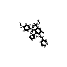 COC(=O)c1cc(C)c(NCc2cccnc2)c(-c2ccco2)c1S(=O)(=O)c1ccc(OC)cc1